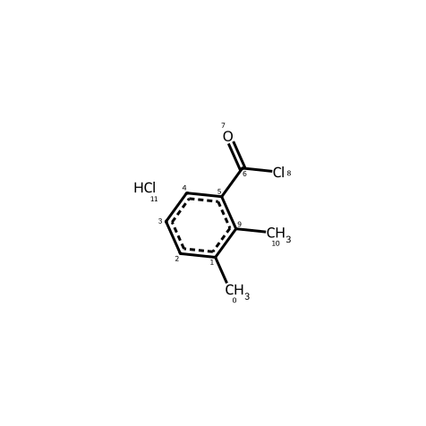 Cc1cccc(C(=O)Cl)c1C.Cl